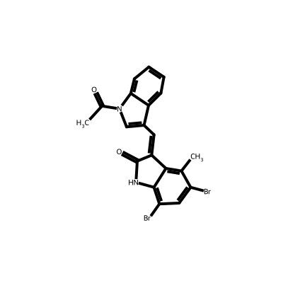 CC(=O)n1cc(C=C2C(=O)Nc3c(Br)cc(Br)c(C)c32)c2ccccc21